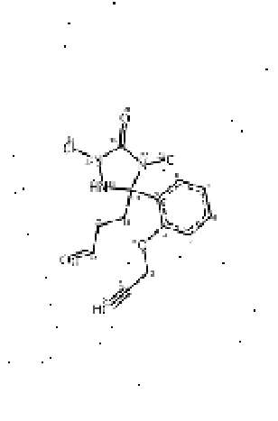 C#CCOc1ccccc1C1(CCC=O)NN(Cl)C(=O)N1Cl